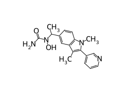 Cc1c(-c2cccnc2)n(C)c2ccc(C(C)N(O)C(N)=O)cc12